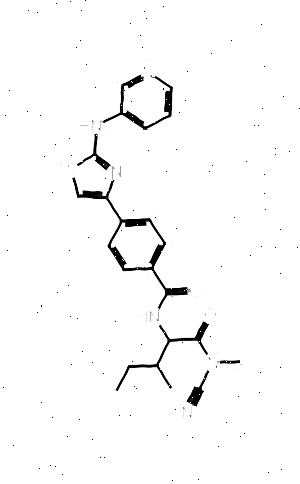 CCC(C)C(NC(=O)c1ccc(-c2csc(Nc3cccnc3)n2)cc1)C(=O)N(C)C#N